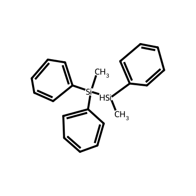 C[SiH](c1ccccc1)[Si](C)(c1ccccc1)c1ccccc1